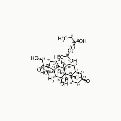 CC(=O)O.CCC(=O)O.C[C@]12CCC(=O)C=C1CC[C@@H]1[C@@H]2[C@@H](O)C[C@@]2(C)[C@H]1CC[C@]2(O)C(=O)CO